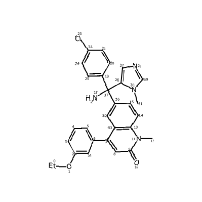 CCOc1cccc(-c2cc(=O)n(C)c3ccc(C(N)(c4ccc(Cl)cc4)c4cncn4C)cc23)c1